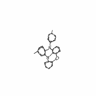 Cc1ccc(N2c3ccc(C)cc3B3c4ccccc4Oc4cccc2c43)cc1